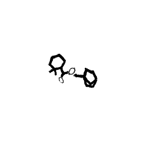 CC1(C)CCCCC1C(=O)OCC12CCC(CC1)C2